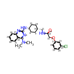 CN(C)c1nc(N[C@H]2CC[C@@H](CNC(=O)COc3cccc(Cl)c3)CC2)nc2ccccc12